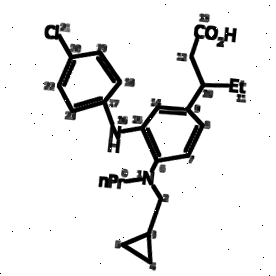 CCCN(CC1CC1)c1ccc(C(CC)CC(=O)O)cc1Nc1ccc(Cl)cc1